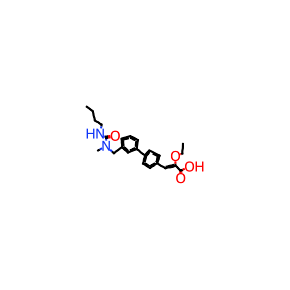 CCCCNC(=O)N(C)Cc1cccc(-c2ccc(/C=C(\OCC)C(=O)O)cc2)c1